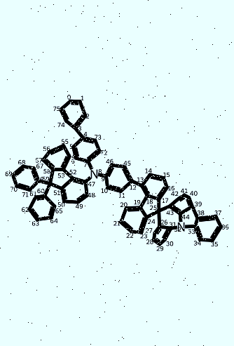 c1ccc(-c2ccc(N(c3ccc(-c4cccc5c4-c4ccccc4C54c5ccccc5-n5c6ccccc6c6cccc4c65)cc3)c3cccc4c3-c3ccccc3C4(c3ccccc3)c3ccccc3)cc2)cc1